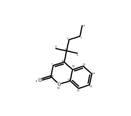 CCCC(C)(C)c1cc(=O)oc2ccccc12